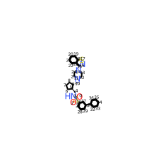 O=S(=O)(NC[C@H]1CCC[C@@H]1CN1CCN(c2nsc3ccccc23)CC1)c1cccc(-c2ccccc2)c1